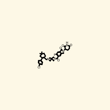 CC1(C)CCC(CN2CC3(C2)CN(C(=O)c2cc4c(cc2F)C(=O)N(C2CCC(=O)NC2=O)C4)C3)=C(c2ccc(Cl)cc2)C1